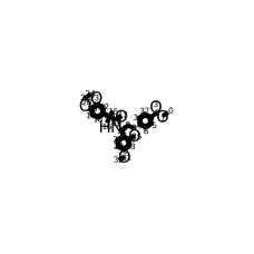 COC(=O)c1ccc([C@H]2C[C@@H](NC(=O)C(C)(C)c3ccc4c(c3)OCCO4)c3ccc(OC)cc3O2)cc1